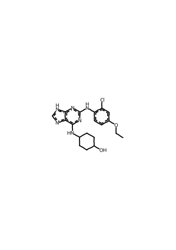 CCOc1ccc(Nc2nc(NC3CCC(O)CC3)c3nc[nH]c3n2)c(Cl)c1